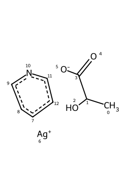 CC(O)C(=O)[O-].[Ag+].c1ccncc1